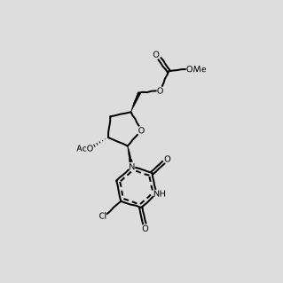 COC(=O)OC[C@@H]1C[C@@H](OC(C)=O)[C@H](n2cc(Cl)c(=O)[nH]c2=O)O1